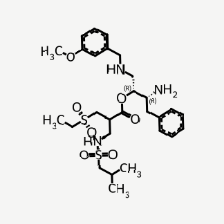 CCS(=O)(=O)CC(CNS(=O)(=O)CC(C)C)C(=O)O[C@H](CNCc1cccc(OC)c1)[C@H](N)Cc1ccccc1